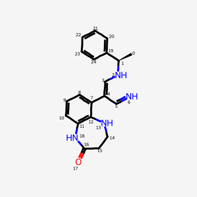 C[C@@H](N/C=C(\C=N)c1cccc2c1NCCC(=O)N2)c1ccccc1